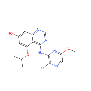 COc1cnc(Cl)c(Nc2ncnc3cc(O)cc(OC(C)C)c23)n1